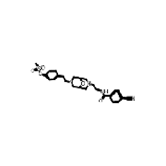 CS(=O)(=O)Oc1ccc(CCN2CC3CN(CCNC(=O)c4ccc(C#N)cc4)CC(C2)O3)cc1